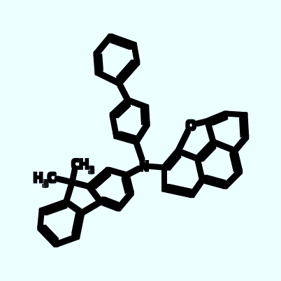 CC1(C)c2ccccc2-c2ccc(N(c3ccc(-c4ccccc4)cc3)c3ccc4ccc5cccc6oc3c4c56)cc21